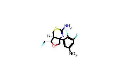 NC1=NC2(c3cc([N+](=O)[O-])cc(F)c3F)CO[C@H](CF)[C@H]2CS1